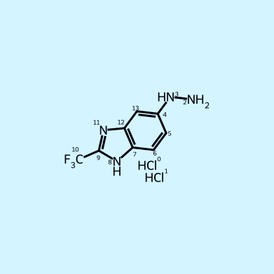 Cl.Cl.NNc1ccc2[nH]c(C(F)(F)F)nc2c1